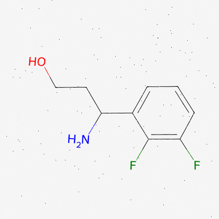 NC(CCO)c1cccc(F)c1F